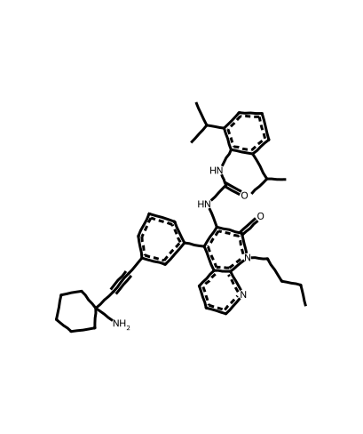 CCCCn1c(=O)c(NC(=O)Nc2c(C(C)C)cccc2C(C)C)c(-c2cccc(C#CC3(N)CCCCC3)c2)c2cccnc21